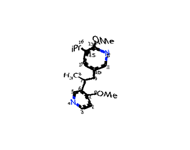 COc1ccncc1C(C)Cc1cnc(OC)c(C(C)C)c1